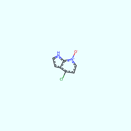 [O-][n+]1ccc(Cl)c2cc[nH]c21